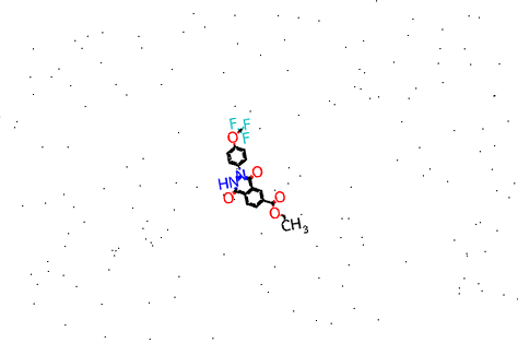 CCOC(=O)c1ccc2c(=O)[nH]n(-c3ccc(OC(F)(F)F)cc3)c(=O)c2c1